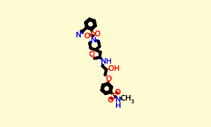 CNS(=O)(=O)c1cccc(OC[C@@H](O)CNC2COC3(CCN(S(=O)(=O)c4ccccc4C#N)CC3)C2)c1